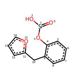 O=[Si](O)Oc1ccccc1Cc1ccco1